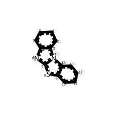 c1ccc2c(c1)nc1sc3ccccc3n12